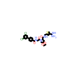 N=C(N)c1csc(CNC(=O)C2CC3(CN2C(=O)CNC(=O)c2ccc(-c4cc(Cl)cc(Cl)c4)cc2)OCCO3)c1